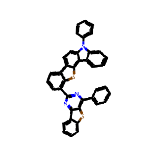 c1ccc(-c2nc(-c3cccc4c3sc3c4ccc4c3c3ccccc3n4-c3ccccc3)nc3c2sc2ccccc23)cc1